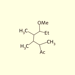 CCC(OC)C(C)C(C)C(C)C(C)=O